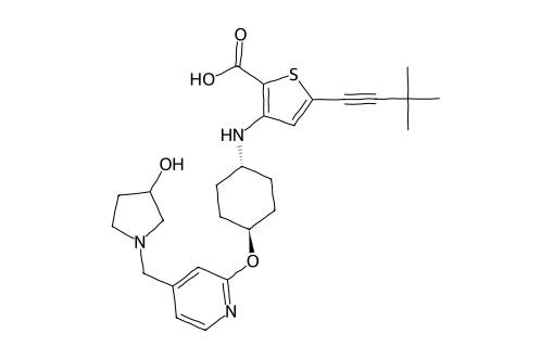 CC(C)(C)C#Cc1cc(N[C@H]2CC[C@H](Oc3cc(CN4CCC(O)C4)ccn3)CC2)c(C(=O)O)s1